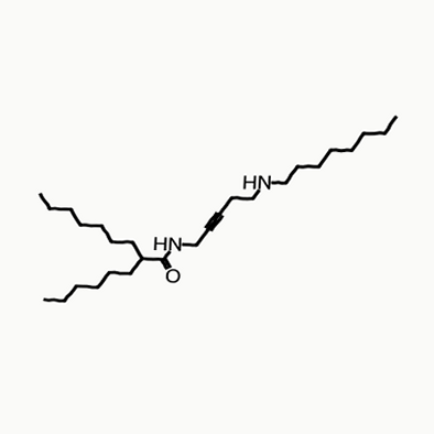 CCCCCCCCNCCC#CCNC(=O)C(CCCCCC)CCCCCCC